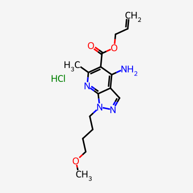 C=CCOC(=O)c1c(C)nc2c(cnn2CCCCOC)c1N.Cl